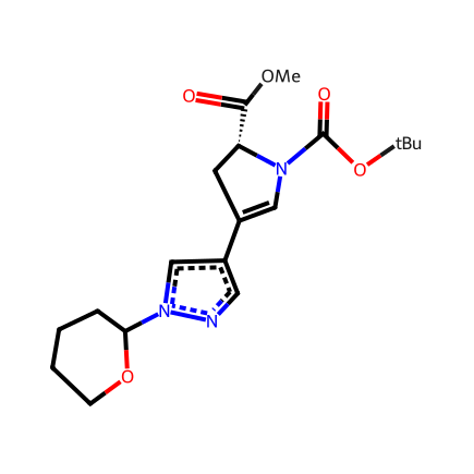 COC(=O)[C@H]1CC(c2cnn(C3CCCCO3)c2)=CN1C(=O)OC(C)(C)C